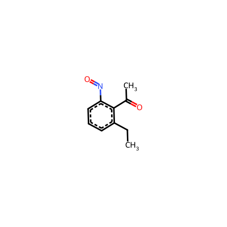 CCc1cccc(N=O)c1C(C)=O